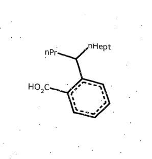 CCCCCCCC(CCC)c1ccccc1C(=O)O